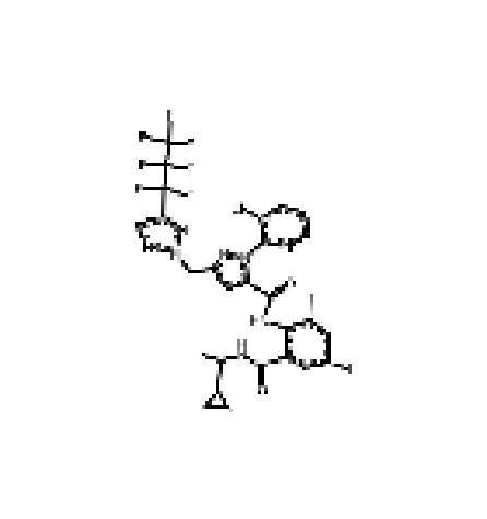 Cc1cc(I)cc(C(=O)NC(C)C2CC2)c1NC(=O)c1cc(Cn2ncc(C(F)(F)C(F)(F)C(F)(F)F)n2)nn1-c1ncccc1Cl